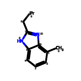 Cc1cccc2[nH]c(CC(C)C)nc12